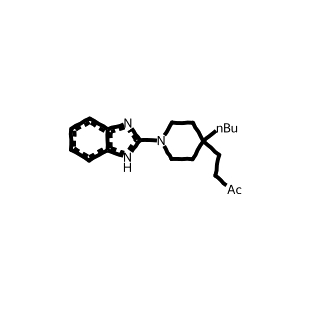 CCCCC1(CCC(C)=O)CCN(c2nc3ccccc3[nH]2)CC1